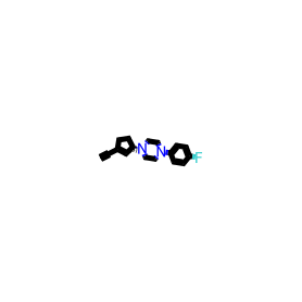 C#CC1=C[C@@H](N2CCN(c3ccc(F)cc3)CC2)CC1